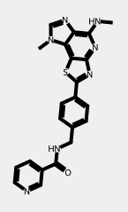 CNc1nc2nc(-c3ccc(CNC(=O)c4cccnc4)cc3)sc2c2c1ncn2C